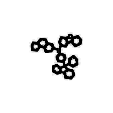 c1ccc(C2(c3ccc(N(c4ccc5c(ccc6ccccc65)c4)c4ccc5oc6ccccc6c5c4)cc3)c3ccccc3-c3ccccc32)cc1